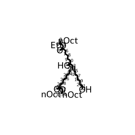 CCCCCCCCC(CC)OC(=O)CCCCCC(O)CN(CCCCCCCO)CCCCCCCC(=O)OC(CCCCCCCC)CCCCCCCC